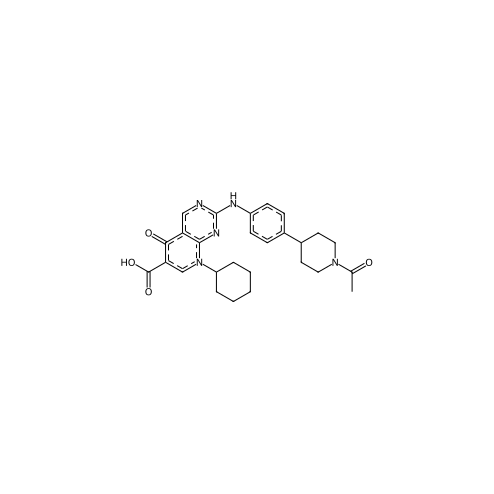 CC(=O)N1CCC(c2ccc(Nc3ncc4c(=O)c(C(=O)O)cn(C5CCCCC5)c4n3)cc2)CC1